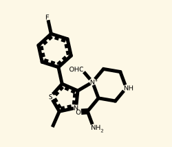 Cc1nc([N+]2(C=O)CCNCC2C(N)=O)c(-c2ccc(F)cc2)s1